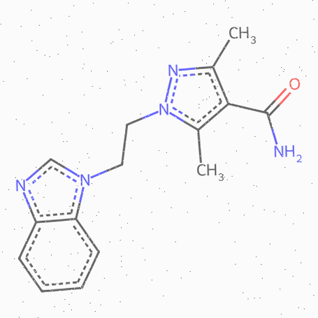 Cc1nn(CCn2cnc3ccccc32)c(C)c1C(N)=O